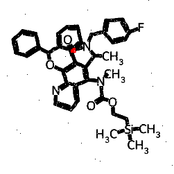 CC1c2c(c(OC(c3ccccc3)c3ccccc3)c3ncccc3c2N(C)C(=O)OCC[Si](C)(C)C)C(=O)N1Cc1ccc(F)cc1